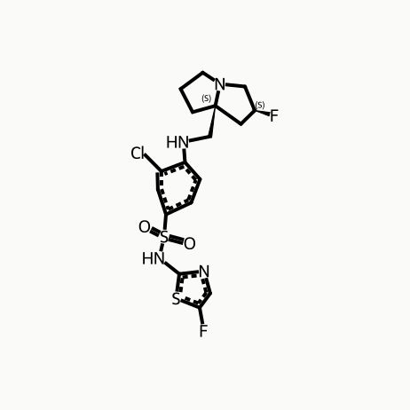 O=S(=O)(Nc1ncc(F)s1)c1ccc(NC[C@@]23CCCN2C[C@@H](F)C3)c(Cl)c1